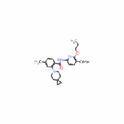 COc1ccc(NC(=O)c2ccc(C)cc2N2CCC3(CC2)CC3)nc1OCCC(F)(F)F